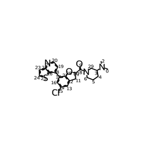 CN(C)C1CCCN(C(=O)[C@H]2Cc3cc(Cl)cc(-c4ccnc5ccsc45)c3O2)C1